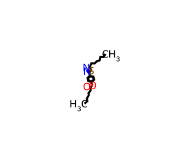 CCCCCCCc1nnc(-c2ccc(OC(=O)CCCCCC)cc2)s1